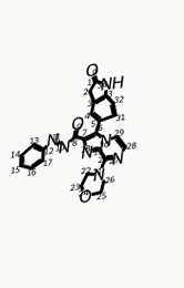 O=C1Cc2cc(-c3c(C(=O)N=Nc4ccccc4)nc4c(N5CCOCC5)nccn34)ccc2N1